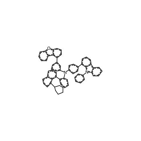 c1ccc(-n2c3ccccc3c3cccc(-c4ccc(N(c5cccc(-c6cccc7oc8ccccc8c67)c5)c5ccccc5-c5cccc6cccc(C7CCCCC7)c56)cc4)c32)cc1